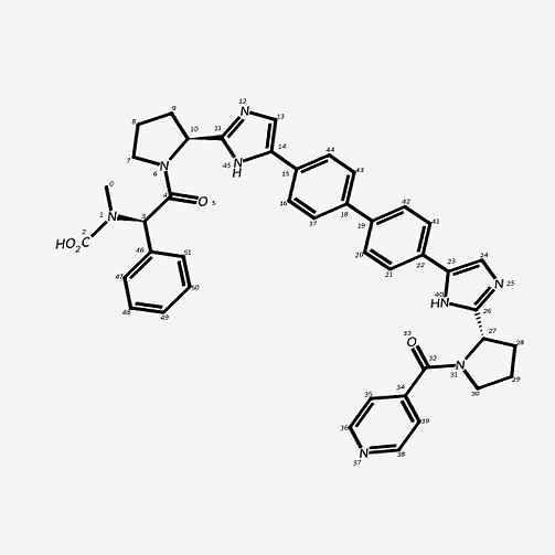 CN(C(=O)O)[C@@H](C(=O)N1CCC[C@H]1c1ncc(-c2ccc(-c3ccc(-c4cnc([C@@H]5CCCN5C(=O)c5ccncc5)[nH]4)cc3)cc2)[nH]1)c1ccccc1